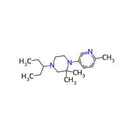 CCC(CC)N1CCN(c2ccc(C)nc2)C(C)(C)C1